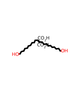 O=C(O)C(CCCCCCCCCCO)=C(CCCCCCCCCCO)C(=O)O